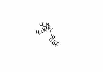 CC(=O)OCC(=O)OCCCC(C)n1cnc2c(Cl)cc(N)nc21